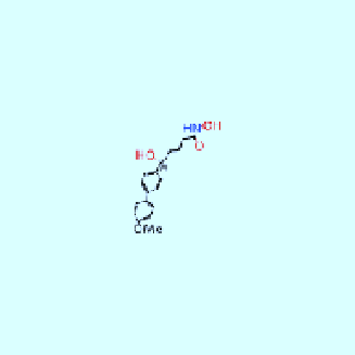 COc1ccc(-c2ccc([C@H](O)CCCCC(=O)NO)cc2)cc1